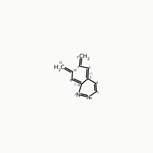 C=C/C=c1/ccnn/c1=C/C=C